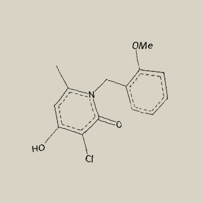 COc1ccccc1Cn1c(C)cc(O)c(Cl)c1=O